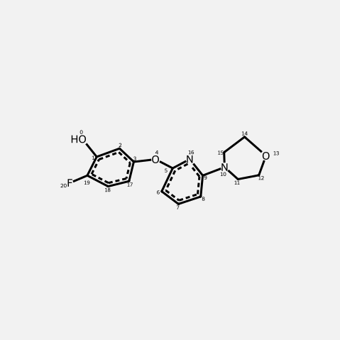 Oc1cc(Oc2cccc(N3CCOCC3)n2)ccc1F